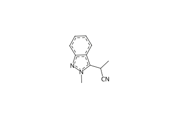 CC(C#N)c1c2ccccc2nn1C